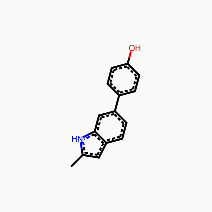 Cc1cc2ccc(-c3ccc(O)cc3)cc2[nH]1